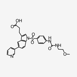 COCCNC(=O)Nc1ccc(S(=O)(=O)n2cc(CCC(=O)O)c3cc(-c4cccnc4)ccc32)cc1